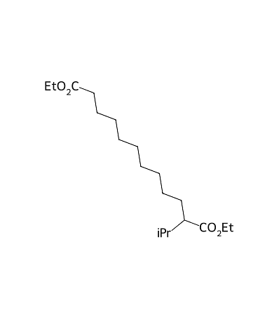 CCOC(=O)CCCCCCCCCC(C(=O)OCC)C(C)C